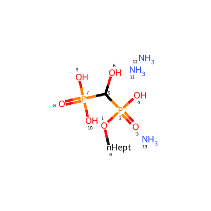 CCCCCCCOP(=O)(O)C(O)P(=O)(O)O.N.N.N